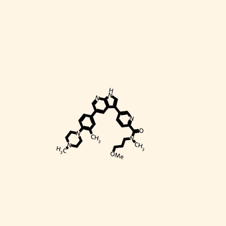 COCCCN(C)C(=O)c1ccc(-c2c[nH]c3ncc(-c4ccc(N5CCN(C)CC5)c(C)c4)cc23)cn1